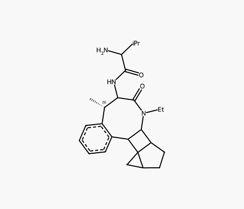 CCN1C(=O)C(NC(=O)C(N)C(C)C)[C@@H](C)c2ccccc2C2C1C1CCC3CC312